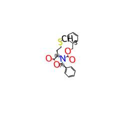 CSCC[C@@H]1C(=O)O[C@H](c2ccccc2)N1C(=O)OCc1ccccc1